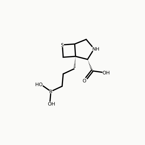 O=C(O)[C@H]1NCC2SC[C@@]21CCCB(O)O